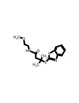 COCCNC(=O)CC(C)(C)Sc1nc2ccccc2s1